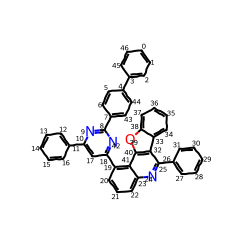 c1ccc(-c2ccc(-c3nc(-c4ccccc4)cc(-c4cccc5nc(-c6ccccc6)c6c7ccccc7oc6c45)n3)cc2)cc1